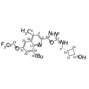 Cc1cc(-c2nnc(NC[C@H]3C[C@@H](O)C3)o2)nc2c(C(C)(C)C)cc(OCC(F)(F)F)cc12